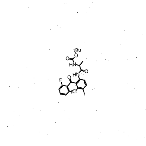 CC(NC(=O)OC(C)(C)C)C(=O)Nc1ccc(I)c(Cl)c1C(=O)c1c(F)cccc1F